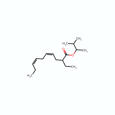 CC/C=C\C/C=C\CC(CC)C(=O)OC(C)C(C)C